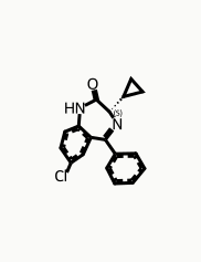 O=C1Nc2ccc(Cl)cc2C(c2ccccc2)=N[C@H]1C1CC1